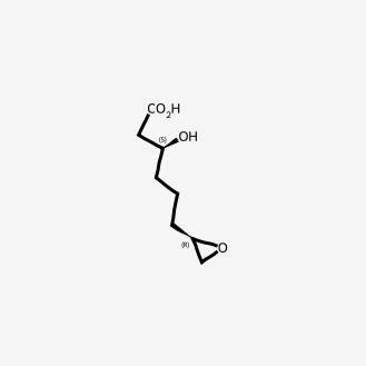 O=C(O)C[C@@H](O)CCC[C@@H]1CO1